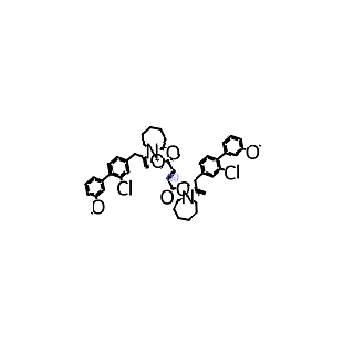 C=C(Cc1ccc(-c2cccc(OC)c2)c(Cl)c1)[N+]1(OC(=O)/C=C/C(=O)O[N+]2(C(=C)Cc3ccc(-c4cccc(OC)c4)c(Cl)c3)CCCCCC2)CCCCCC1